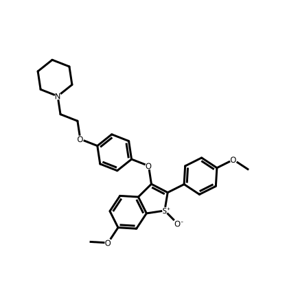 COc1ccc(-c2c(Oc3ccc(OCCN4CCCCC4)cc3)c3ccc(OC)cc3[s+]2[O-])cc1